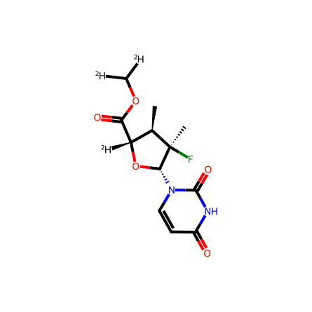 [2H]C([2H])OC(=O)[C@@]1([2H])O[C@@H](n2ccc(=O)[nH]c2=O)[C@](C)(F)[C@@H]1C